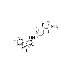 Cc1ncc(/C(=C/C(=O)NC[C@H](Cc2ccc(C(N)=O)c(F)c2)N2CCCC2)C2(C(F)(F)F)CC2)cn1